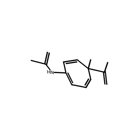 C=C(C)NC1=CC=CC(C)(C(=C)C)C=C1